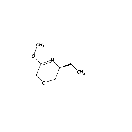 CC[C@H]1COCC(OC)=N1